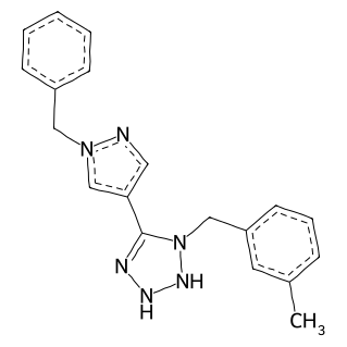 Cc1cccc(CN2NNN=C2c2cnn(Cc3ccccc3)c2)c1